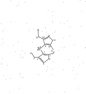 CCC1=CCC(C)=[C]1[Zr][C]1=C(C)CC=C1CC